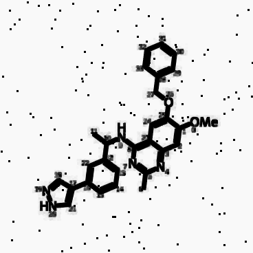 COc1cc2nc(C)nc(NC(C)c3cccc(-c4cn[nH]c4)c3)c2cc1OCc1ccccc1